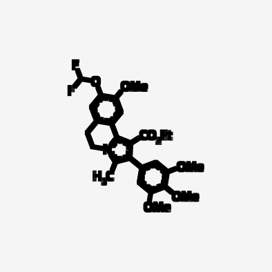 CCOC(=O)c1c(-c2cc(OC)c(OC)c(OC)c2)c(C)n2c1-c1cc(OC)c(OC(F)F)cc1CC2